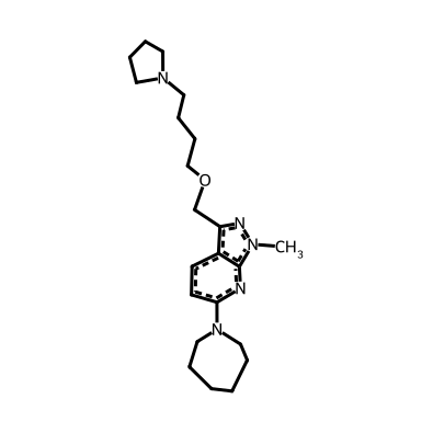 Cn1nc(COCCCCN2CCCC2)c2ccc(N3CCCCCC3)nc21